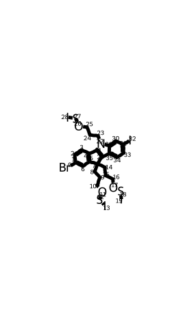 Brc1ccc2c(c1)C(CCCOSI)(CCCOSI)c1c-2n(CCCOSI)c2cc(I)ccc12